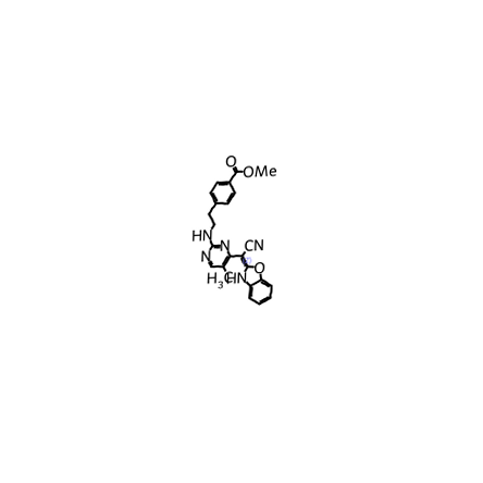 COC(=O)c1ccc(CCNc2ncc(C)c(/C(C#N)=C3\Nc4ccccc4O3)n2)cc1